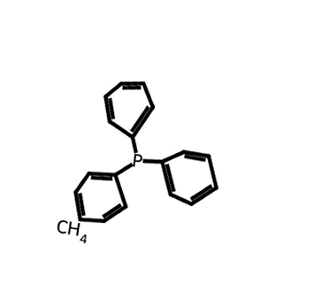 C.c1ccc(P(c2ccccc2)c2ccccc2)cc1